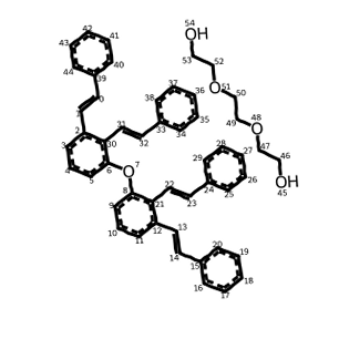 C(=C\c1cccc(Oc2cccc(/C=C/c3ccccc3)c2/C=C/c2ccccc2)c1/C=C/c1ccccc1)/c1ccccc1.OCCOCCOCCO